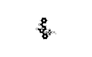 CS(=O)(=O)Nc1ccccc1C1CC(Cl)n2c(C(=O)c3ccccc3)ccc21